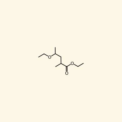 CCOC(=O)C(C)CC(C)OCC